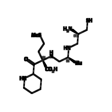 CCC(C)[C@@H](CN[C@](CCSC)(C(=O)O)C(=O)C1CCCCN1)NC[C@@H](N)CS